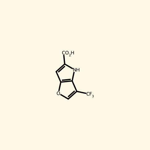 O=C(O)c1cc2occ(C(F)(F)F)c2[nH]1